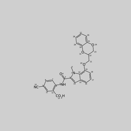 Cn1c(C(=O)Nc2ccc(C#N)cc2C(=O)O)cc2cccc(OCC3COc4ccccc4O3)c21